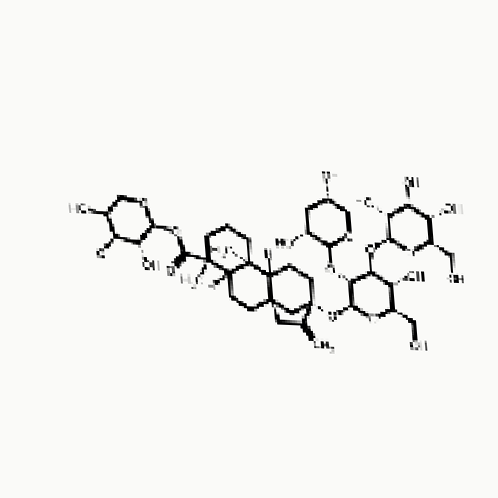 C=C1C[C@@]23CC[C@H]4[C@@](C)(CCC[C@@]4(C)C(=O)O[C@@H]4OC[C@H](O)[C@H](O)[C@H]4O)[C@@H]2CC[C@]1(O[C@@H]1O[C@H](CO)[C@@H](O)[C@H](O[C@@H]2O[C@H](CO)[C@@H](O)[C@H](O)[C@H]2O)[C@H]1O[C@@H]1OC[C@@H](O)C[C@H]1O)C3